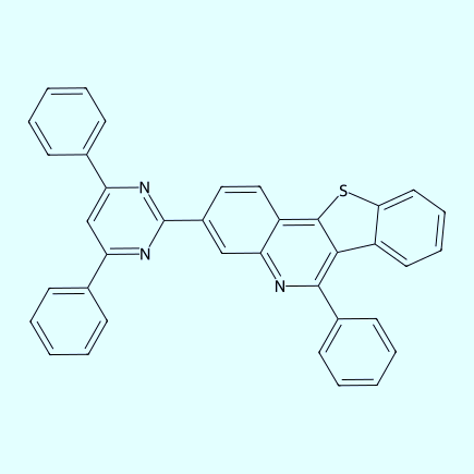 c1ccc(-c2cc(-c3ccccc3)nc(-c3ccc4c(c3)nc(-c3ccccc3)c3c5ccccc5sc43)n2)cc1